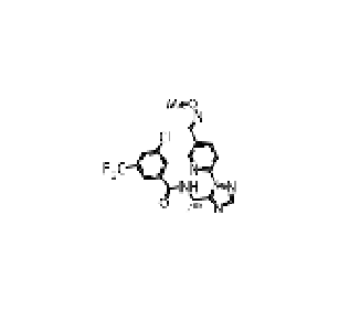 CON=Cc1ccc(-n2ncnc2[C@H](C)NC(=O)c2cc(Cl)cc(C(F)(F)F)c2)nc1